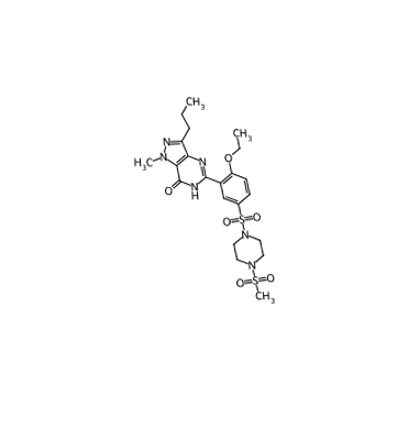 CCCc1nn(C)c2c(=O)[nH]c(-c3cc(S(=O)(=O)N4CCN(S(C)(=O)=O)CC4)ccc3OCC)nc12